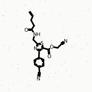 C=CCCC(=O)NCc1nc(-c2ccc(C#N)cc2)c(C(=O)OCC#N)s1